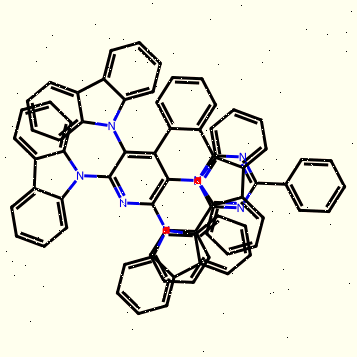 c1ccc(-c2nc(-c3ccccc3)nc(-c3ccccc3-c3c(-n4c5ccccc5c5ccccc54)c(-n4c5ccccc5c5ccccc54)nc(-n4c5ccccc5c5ccccc54)c3-n3c4ccccc4c4ccccc43)n2)cc1